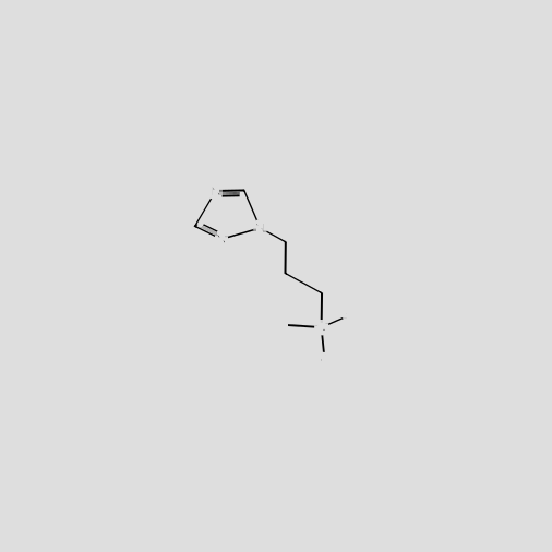 Cl[Si](Cl)(Cl)CCCn1cncn1